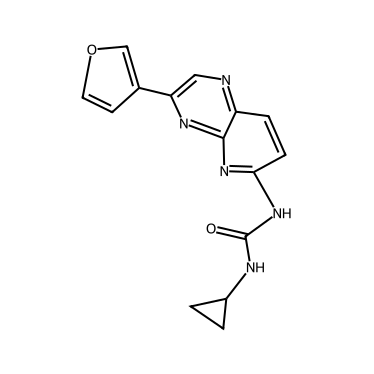 O=C(Nc1ccc2ncc(-c3ccoc3)nc2n1)NC1CC1